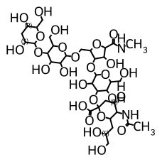 CNC(=O)C1OC(COC2OC(CO)C(OC3OC(CO)[C@H](O)C[C@@H]3O)C(O)C2O)C(OC2OC(CO)C(O)C(OC3(C(=O)O)C[C@@H](O)C(NC(C)=O)C(C[C@H](O)CO)O3)C2O)C1O